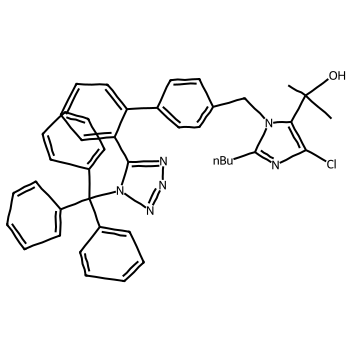 CCCCc1nc(Cl)c(C(C)(C)O)n1Cc1ccc(-c2ccccc2-c2nnnn2C(c2ccccc2)(c2ccccc2)c2ccccc2)cc1